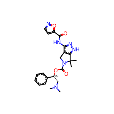 CN(C)C[C@@H](OC(=O)N1Cc2c(NC(=O)c3ccno3)n[nH]c2C1(C)C)c1ccccc1